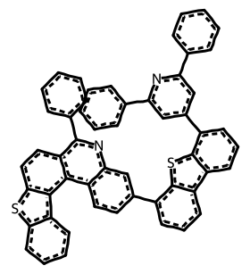 c1ccc(-c2cc(-c3cccc4c3sc3c(-c5ccc6c(c5)nc(-c5ccccc5)c5ccc7sc8ccccc8c7c56)cccc34)cc(-c3ccccc3)n2)cc1